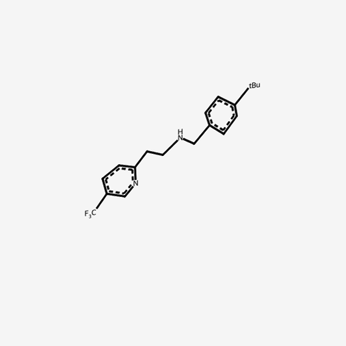 CC(C)(C)c1ccc(CNCCc2ccc(C(F)(F)F)cn2)cc1